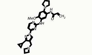 C=CC(=O)Nc1cc(Nc2nccc(-n3cc(CN4CCC4)c(C4CC4)n3)n2)c(OC)cc1N1CCCC1